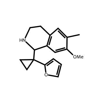 COc1cc2c(cc1C)CCNC2C1(c2ccco2)CC1